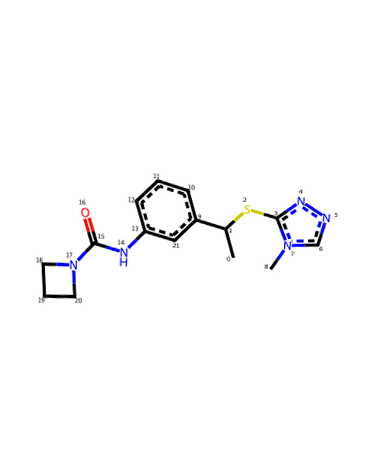 CC(Sc1nncn1C)c1cccc(NC(=O)N2CCC2)c1